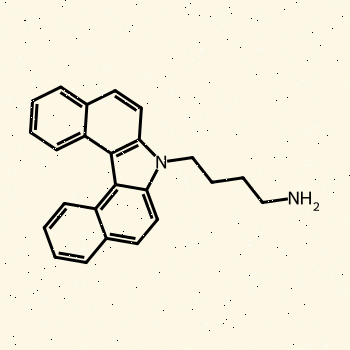 NCCCCn1c2ccc3ccccc3c2c2c3ccccc3ccc21